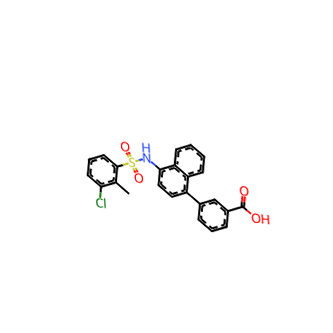 Cc1c(Cl)cccc1S(=O)(=O)Nc1ccc(-c2cccc(C(=O)O)c2)c2ccccc12